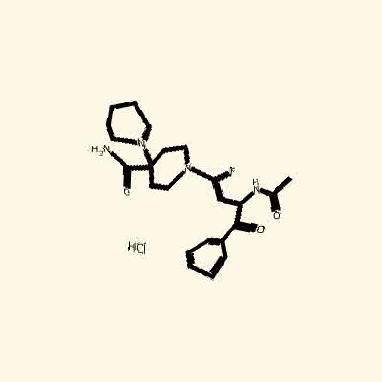 CC(=O)NC(CC(F)N1CCC(C(N)=O)(N2CCCCC2)CC1)C(=O)c1ccccc1.Cl